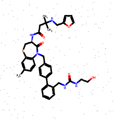 CC(C)(CC(=O)N[C@@H]1CSc2cc(C(F)(F)F)ccc2N(Cc2ccc(-c3ccccc3CNC(=O)NCCO)cc2)C1=O)NCc1ccco1